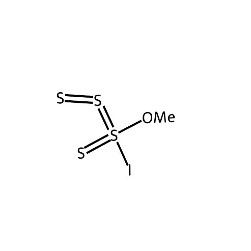 COS(=S)(I)=S=S